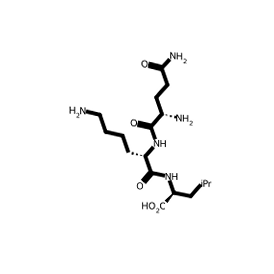 CC(C)C[C@H](NC(=O)[C@H](CCCCN)NC(=O)[C@@H](N)CCC(N)=O)C(=O)O